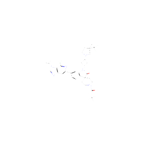 CC(C)n1cnc2cc(-c3ccc4c(c3)N([C@H]3C[C@@H](N5CCC6(C5)CC6(F)F)C3)C(=O)C43CCN(C(=O)OC(C)(C)C)CC3)nc(Cl)c21